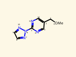 COCc1cnc(-n2nccn2)nc1